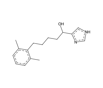 Cc1cccc(C)c1CCCCC(O)c1c[nH]cn1